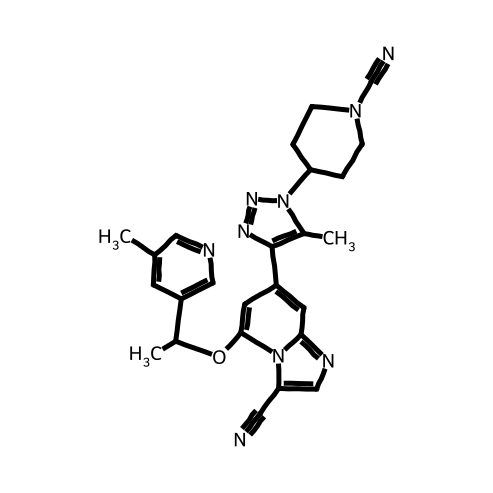 Cc1cncc(C(C)Oc2cc(-c3nnn(C4CCN(C#N)CC4)c3C)cc3ncc(C#N)n23)c1